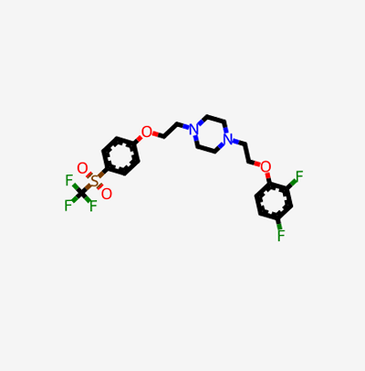 O=S(=O)(c1ccc(OCCN2CCN(CCOc3ccc(F)cc3F)CC2)cc1)C(F)(F)F